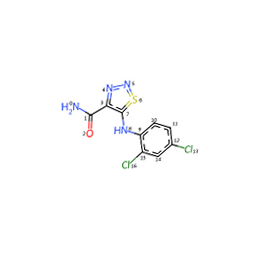 NC(=O)c1nnsc1Nc1ccc(Cl)cc1Cl